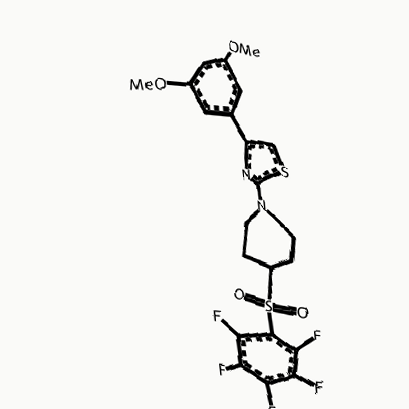 COc1cc(OC)cc(-c2csc(N3CCC(S(=O)(=O)c4c(F)c(F)c(F)c(F)c4F)CC3)n2)c1